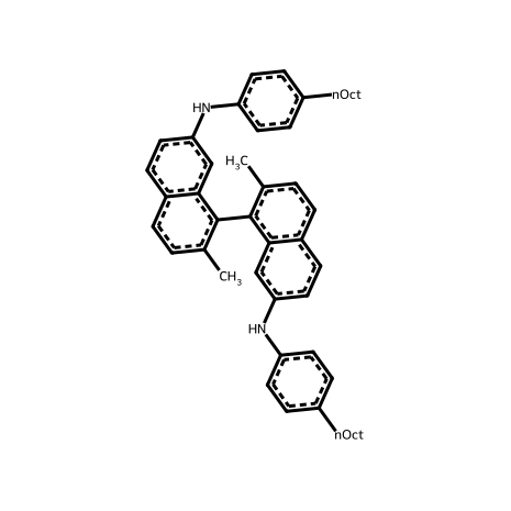 CCCCCCCCc1ccc(Nc2ccc3ccc(C)c(-c4c(C)ccc5ccc(Nc6ccc(CCCCCCCC)cc6)cc45)c3c2)cc1